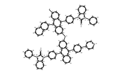 Cc1ccc2c(-c3ccc(-n4c(=O)n(-c5ccccc5)c5ccccc54)cc3)c3cc(Cc4ccc5c(-c6ccc(-n7c(=O)n(-c8ccccc8)c8ccccc87)cc6)c6ccccc6c(-c6ccc(-c7ccncc7)cc6)c5c4)ccc3c(-c3ccc4ccccc4c3)c2c1